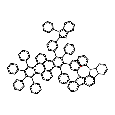 C1=CC2c3ccc4c5ccccc5n(-c5cccc(-c6c(-c7ccccc7)c(-c7cccc(-c8nc9ccccc9n8-c8ccccc8)c7)c7c8cccc9c%10c(-c%11ccccc%11)c(-c%11ccccc%11)c(-c%11ccccc%11)c(-c%11ccccc%11)c%10c%10cccc(c7c6-c6ccccc6)c%10c98)c5)c4c3N(c3ccccc3)C2C=C1